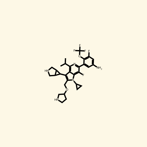 CC(C)c1nc(-c2cc(N)cc(F)c2OC(F)(F)F)c(F)c2c1c(C1C3CNCC31)c(COC1CCNC1)n2C1CC1